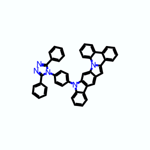 c1ccc(-c2nnc(-c3ccccc3)n2-c2ccc(-n3c4ccccc4c4cc5cc6c7ccccc7c7ccccc7n6c5cc43)cc2)cc1